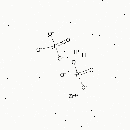 O=P([O-])([O-])[O-].O=P([O-])([O-])[O-].[Li+].[Li+].[Zr+4]